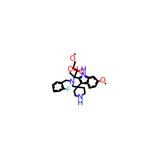 COCCC(=O)C1(CO)c2[nH]c3cc(OC)ccc3c2C2(CCNCC2)CN1Cc1ccccc1F